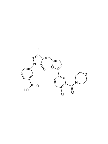 CC1=NN(c2cccc(C(=O)O)c2)C(=O)C1=Cc1ccc(-c2ccc(Cl)c(C(=O)N3CCOCC3)c2)o1